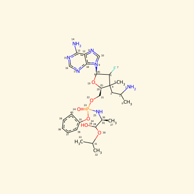 CC(N)CC1(C)C(F)[C@H](n2cnc3c(N)ncnc32)O[C@@H]1COP(=O)(N[C@@H](C)C(O)OC(C)C)Oc1ccccc1